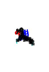 CC(=O)c1cccc(NC(=O)N[C@@H]2CCN(CCF)C[C@@H]2CN2CCC[C@@H](Cc3ccc(F)cc3)C2)c1